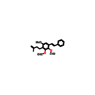 C=C(C)CCc1c(OC)cc(C=Cc2ccccc2)c(OC=O)c1OC=O